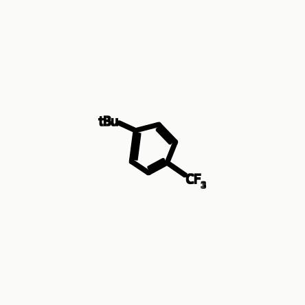 CC(C)(C)c1ccc(C(F)(F)F)cc1